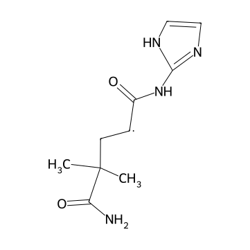 CC(C)(C[CH]C(=O)Nc1ncc[nH]1)C(N)=O